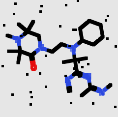 C=N/C(=N\C(C)=N/C)C(C)(C)N(CCN1CC(C)(C)N(C)C(C)(C)C1=O)C1CCCCC1